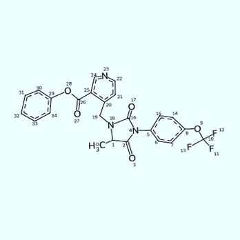 CC1C(=O)N(c2ccc(OC(F)(F)F)cc2)C(=O)N1Cc1ccncc1C(=O)Oc1ccccc1